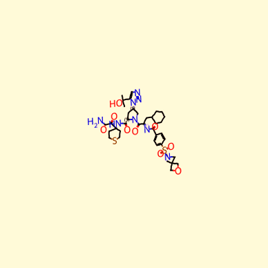 CC(C)(O)c1cnnn1[C@H]1C[C@@H](C(=O)NC2(C(=O)C(N)=O)CCSCC2)N(C(=O)/C(CC2CCCCC2)=N/C(=O)c2ccc(S(=O)(=O)N3CC4(COC4)C3)cc2)C1